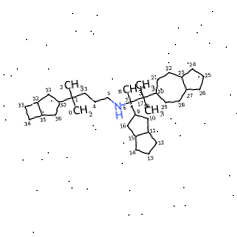 CC(C)(CCCNC(C)(C1CC2CCCC2C1)C(C)(C)C1CCC2CCCC2CC1)C1CC2CCC2C1